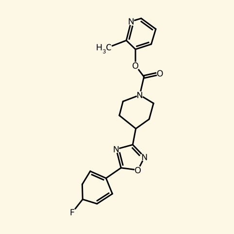 Cc1ncccc1OC(=O)N1CCC(c2noc(C3=CCC(F)C=C3)n2)CC1